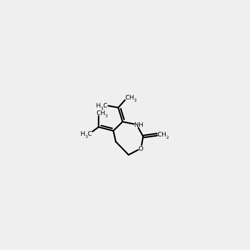 C=C1NC(=C(C)C)C(=C(C)C)CCO1